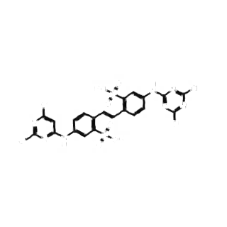 O=S(=O)(O)c1cc(Nc2cc(Cl)nc(Cl)n2)ccc1C=Cc1ccc(Nc2nc(Cl)nc(Cl)n2)cc1S(=O)(=O)O